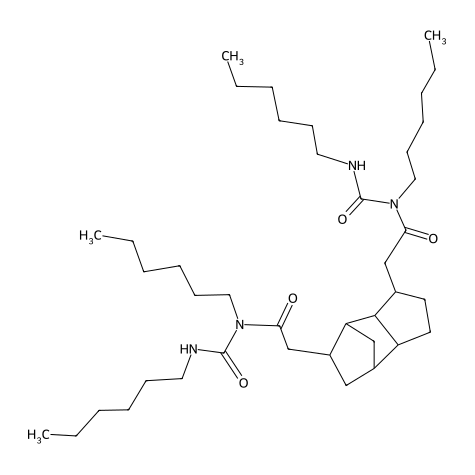 CCCCCCNC(=O)N(CCCCCC)C(=O)CC1CC2CC1C1C(CC(=O)N(CCCCCC)C(=O)NCCCCCC)CCC21